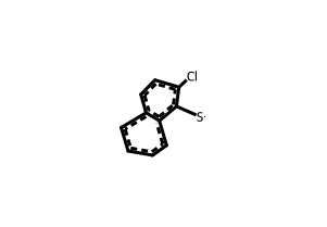 [S]c1c(Cl)ccc2ccccc12